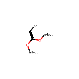 CCCCCCCOC(=CC(C)=O)OCCCCCCC